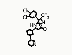 O=c1cc(-c2cccc(-c3cccnc3)c2)[nH]c2c(-c3ccc(Cl)c(Cl)c3)c(C(F)(F)F)nn12